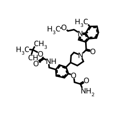 COCCn1cc(C(=O)N2CCC(c3cc(CNC(=O)OC(C)(C)C)ccc3OCC(N)=O)CC2)c2cccc(C)c21